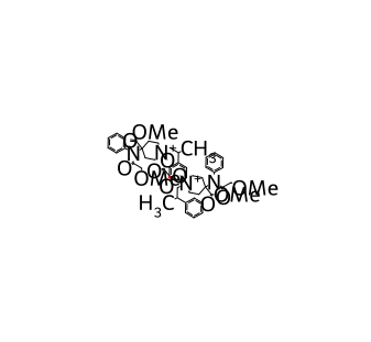 COCC(=O)N(c1ccccc1)C1(C(=O)OC)CC[N+](CC(C)c2ccccc2)(OC(=O)C(=O)O[N+]2(CC(C)c3ccccc3)CCC(C(=O)OC)(N(C(=O)COC)c3ccccc3)CC2)CC1